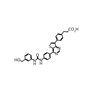 O=C(O)CCc1ccc(-c2csc3c(-c4ccc(NC(=O)Nc5cccc(CO)c5)cc4)ncnc23)cc1